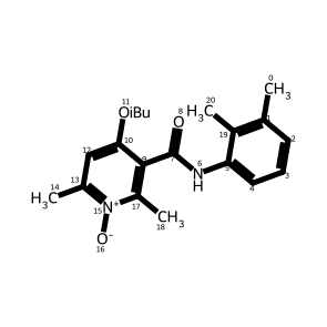 Cc1cccc(NC(=O)c2c(OCC(C)C)cc(C)[n+]([O-])c2C)c1C